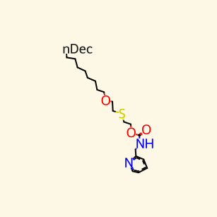 CCCCCCCCCCCCCCCCCCOCCSCCOC(=O)NCc1ccccn1